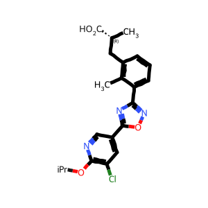 Cc1c(C[C@@H](C)C(=O)O)cccc1-c1noc(-c2cnc(OC(C)C)c(Cl)c2)n1